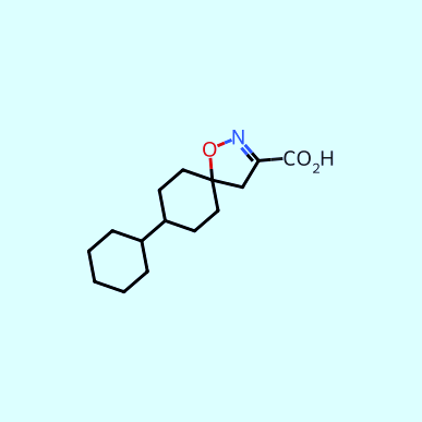 O=C(O)C1=NOC2(CCC(C3CCCCC3)CC2)C1